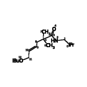 CC(C)CNC(=O)C(C)(C)C/C=C/COCC(C)C